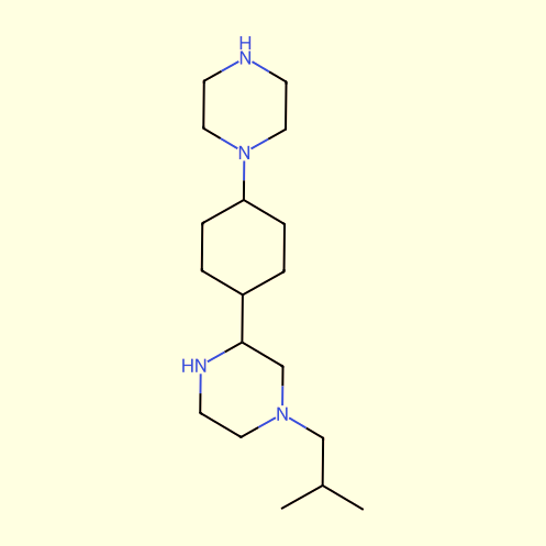 CC(C)CN1CCNC(C2CCC(N3CCNCC3)CC2)C1